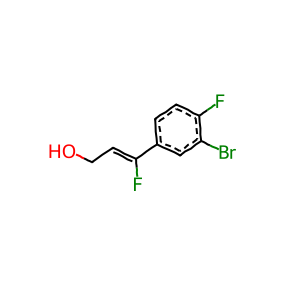 OCC=C(F)c1ccc(F)c(Br)c1